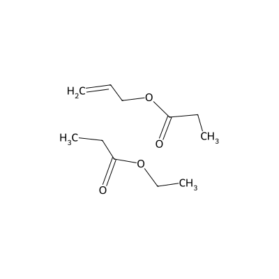 C=CCOC(=O)CC.CCOC(=O)CC